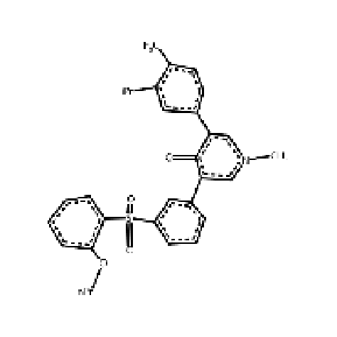 CCCOc1ccccc1S(=O)(=O)c1cccc(-c2cn(C)cc(-c3ccc(C(F)(F)F)c(C(C)C)c3)c2=O)c1